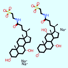 C[C@H](CCC(=O)NCCS(=O)(=O)[O-])[C@H]1CCC2C3C(CC[C@@]21C)[C@@]1(C)CC[C@@H](O)CC1C[C@H]3O.C[C@H](CCC(=O)NCCS(=O)(=O)[O-])[C@H]1CCC2C3C(C[C@H](O)[C@@]21C)[C@@]1(C)CC[C@@H]([O-])CC1C[C@H]3O.[Na+].[Na+].[Na+]